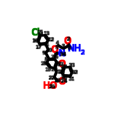 NC(=O)C1COC(c2c(CCc3ccc(Cl)cc3)ccc(CCC(=O)O)c2Oc2ccccc2)=N1